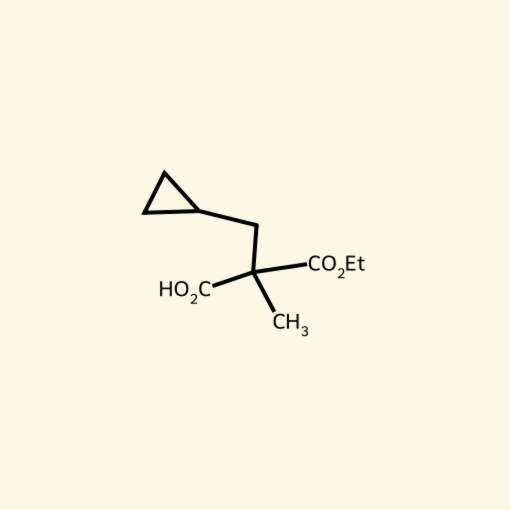 CCOC(=O)C(C)(CC1CC1)C(=O)O